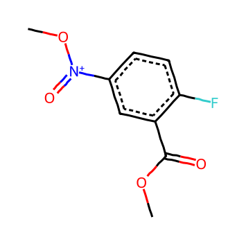 COC(=O)c1cc([N+](=O)OC)ccc1F